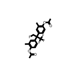 CC(=O)Oc1ccc(C(CF)(c2ccc(OC(C)=O)c(C)c2)C(F)(F)F)cc1C